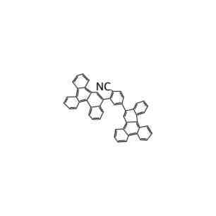 N#Cc1ccc(-c2cc3c4ccccc4c4ccccc4c3c3ccccc23)cc1-c1cc2c3ccccc3c3ccccc3c2c2ccccc12